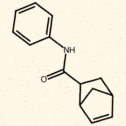 O=C(Nc1ccccc1)C1CC2C=CC1C2